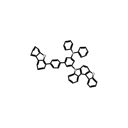 c1ccc(N(c2ccccc2)c2cc(-c3ccc(-c4cccc5c4oc4ccccc45)cc3)cc(-n3c4ccccc4c4c5c(ccc43)oc3ccccc35)c2)cc1